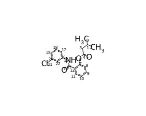 CC(C)CC(=O)Oc1ccccc1C(=O)Nc1cccc(Cl)c1